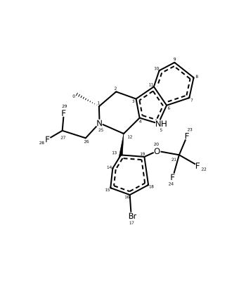 C[C@@H]1Cc2c([nH]c3ccccc23)[C@@H](c2ccc(Br)cc2OC(F)(F)F)N1CC(F)F